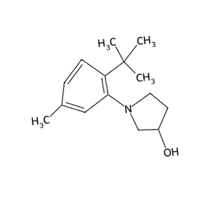 Cc1ccc(C(C)(C)C)c(N2CCC(O)C2)c1